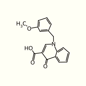 COc1cccc(Cn2cc(C(=O)O)c(=O)c3ccccc32)c1